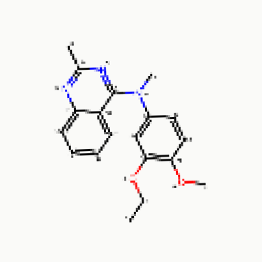 CCOc1cc(N(C)c2nc(C)nc3ccccc23)ccc1OC